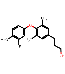 COc1ccc(Oc2c(C)cc(CCCO)cc2C)cc1C(C)C